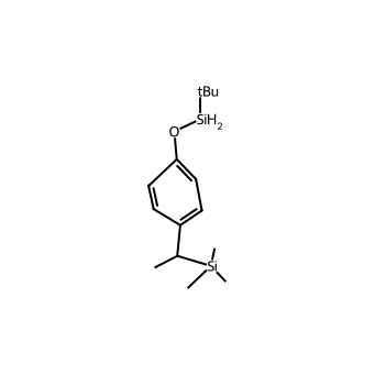 CC(c1ccc(O[SiH2]C(C)(C)C)cc1)[Si](C)(C)C